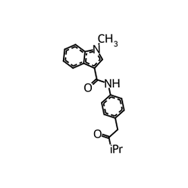 CC(C)C(=O)Cc1ccc(NC(=O)c2cn(C)c3ccccc23)cc1